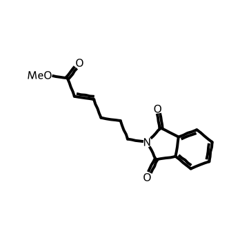 COC(=O)C=CCCCN1C(=O)c2ccccc2C1=O